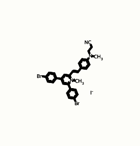 CN(CCC#N)c1ccc(/C=C/c2cc(-c3ccc(Br)cc3)cc(-c3ccc(Br)cc3)[n+]2C)cc1.[I-]